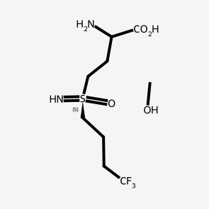 CO.N=[S@](=O)(CCCC(F)(F)F)CCC(N)C(=O)O